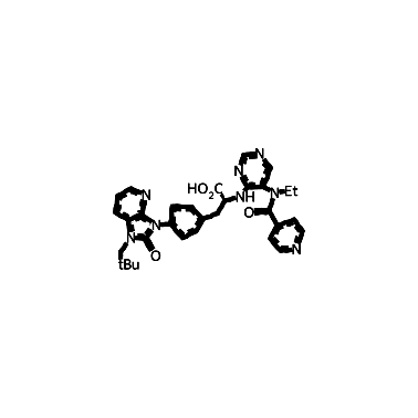 CCN(C(=O)c1ccncc1)c1cncnc1N[C@@H](Cc1ccc(-n2c(=O)n(CC(C)(C)C)c3cccnc32)cc1)C(=O)O